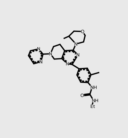 CCNC(=O)Nc1ccc(-c2nc3c(c(N4CCOCC4C)n2)CCN(c2ncccn2)C3)cc1C